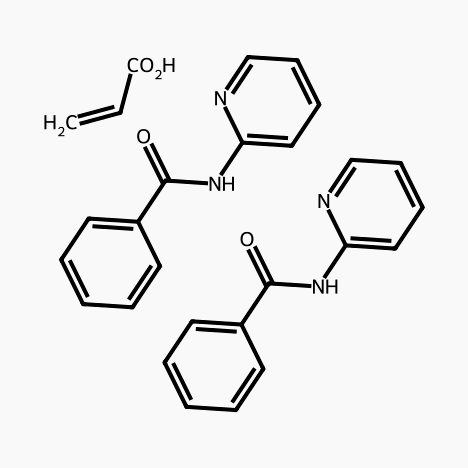 C=CC(=O)O.O=C(Nc1ccccn1)c1ccccc1.O=C(Nc1ccccn1)c1ccccc1